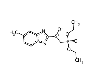 CCOP(=O)(C[S+]([O-])c1nc2cc(C)ccc2s1)OCC